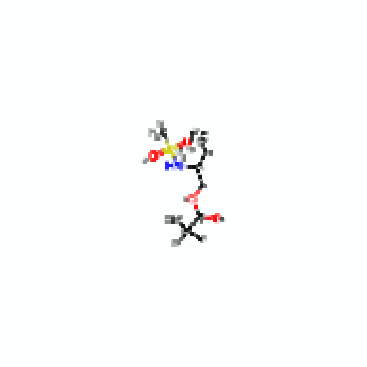 CCC(C)(C)C(=O)OCC(CC(F)(F)F)NS(=O)(=O)C(F)(F)F